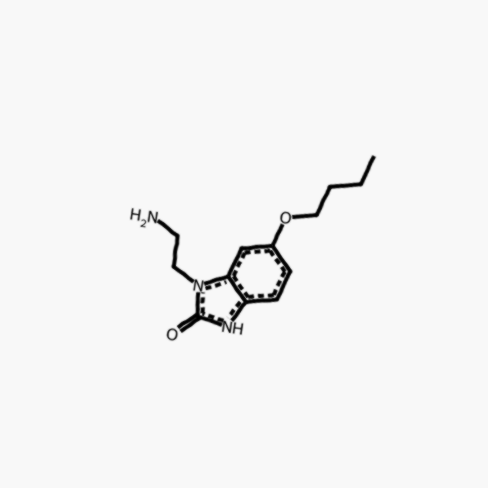 CCCCOc1ccc2[nH]c(=O)n(CCN)c2c1